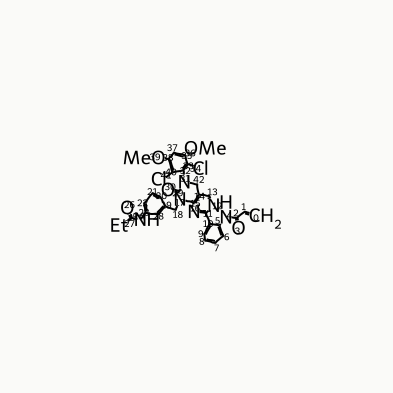 C=CC(=O)Nc1ccccc1-c1ncc2c(n1)N(Cc1cccc(NC(=O)CC)c1)C(=O)N(c1c(Cl)c(OC)cc(OC)c1Cl)C2